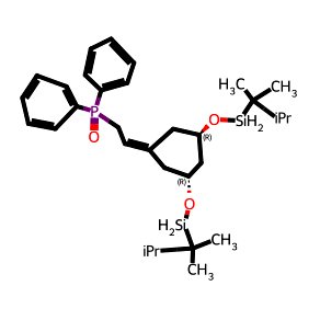 CC(C)C(C)(C)[SiH2]O[C@@H]1CC(=CCP(=O)(c2ccccc2)c2ccccc2)C[C@@H](O[SiH2]C(C)(C)C(C)C)C1